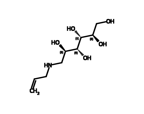 C=CCNC[C@@H](O)[C@@H](O)[C@H](O)[C@H](O)CO